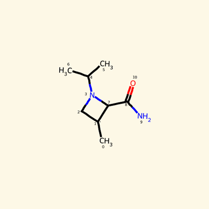 C[C]1CN(C(C)C)C1C(N)=O